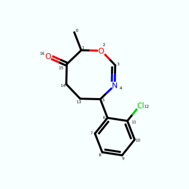 CC1O/C=N\C(c2ccccc2Cl)CCC1=O